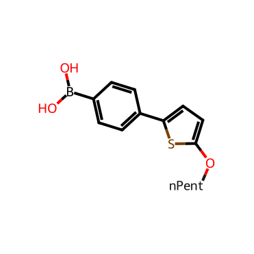 CCCCCOc1ccc(-c2ccc(B(O)O)cc2)s1